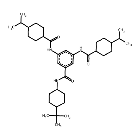 CC(C)C1CCC(C(=O)Nc2cc(NC(=O)C3CCC(C(C)C)CC3)cc(C(=O)NC3CCC(C(C)(C)C)CC3)c2)CC1